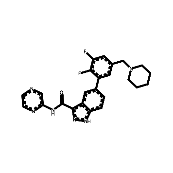 O=C(Nc1cnccn1)c1n[nH]c2ccc(-c3cc(CN4CCCCC4)cc(F)c3F)cc12